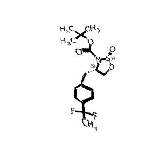 CC(C)(C)OC(=O)N1[C@@H](Cc2ccc(C(C)(F)F)cc2)CO[S@@]1=O